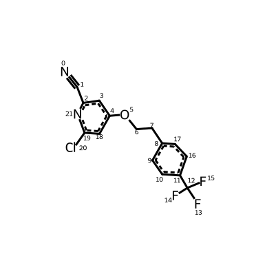 N#Cc1cc(OCCc2ccc(C(F)(F)F)cc2)cc(Cl)n1